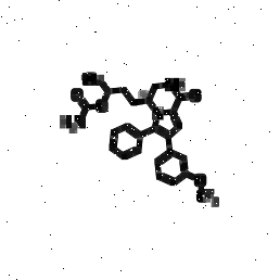 CC(C)(C)C(CC[C@H]1CNC(=O)c2cc(-c3cccc(OC(F)(F)F)c3)c(-c3ccccc3)n21)OC(N)=O